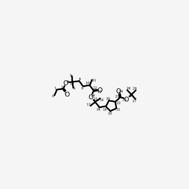 CCC(=O)OC(C)(C)CCC(C)C(=O)OC(C)(C)CC1CCC(C(=O)OC(C)(C)C)C1